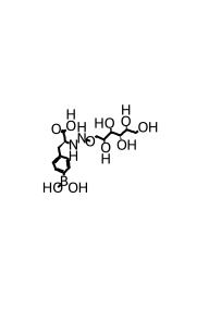 O=C(O)[C@H](Cc1ccc(B(O)O)cc1)NNOC[C@H](O)[C@@H](O)[C@@H](O)[C@H](O)CO